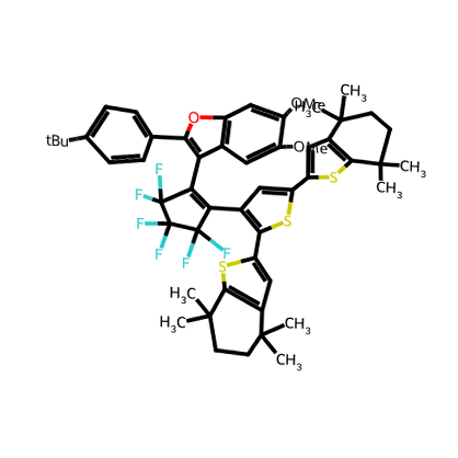 COc1cc2oc(-c3ccc(C(C)(C)C)cc3)c(C3=C(c4cc(-c5cc6c(s5)C(C)(C)CCC6(C)C)sc4-c4cc5c(s4)C(C)(C)CCC5(C)C)C(F)(F)C(F)(F)C3(F)F)c2cc1OC